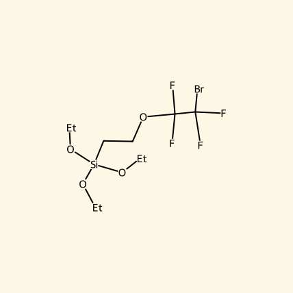 CCO[Si](CCOC(F)(F)C(F)(F)Br)(OCC)OCC